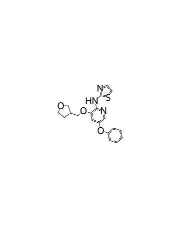 c1ccc(Oc2cnc(Nc3nccs3)c(OCC3CCOC3)c2)cc1